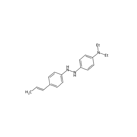 CC=Cc1ccc(NNc2ccc(N(CC)CC)cc2)cc1